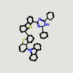 C1=CCC(C2=NC(c3cccc4c3sc3c(-c5cccc6c5SC5C=CC=C(n7c8ccccc8c8ccccc87)C65)cccc34)=NC(c3ccccc3)N2)C=C1